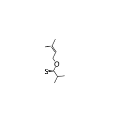 CC(C)=CCOC(=S)C(C)C